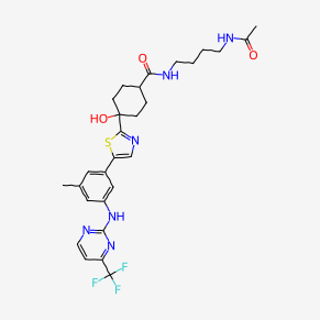 CC(=O)NCCCCNC(=O)C1CCC(O)(c2ncc(-c3cc(C)cc(Nc4nccc(C(F)(F)F)n4)c3)s2)CC1